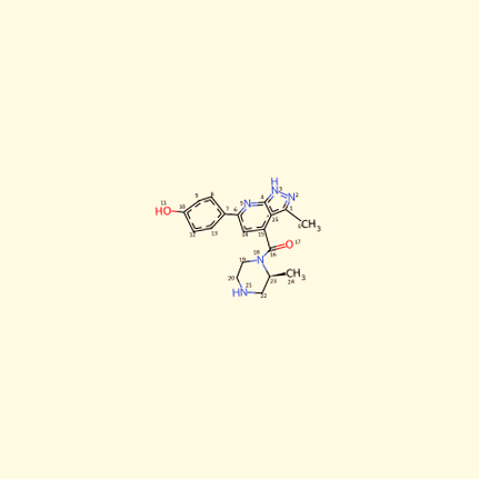 Cc1n[nH]c2nc(-c3ccc(O)cc3)cc(C(=O)N3CCNC[C@@H]3C)c12